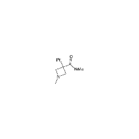 CNC(=O)C1(C(C)C)CN(C)C1